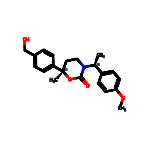 COc1ccc([C@H](C)N2CC[C@](C)(c3ccc(CO)cc3)OC2=O)cc1